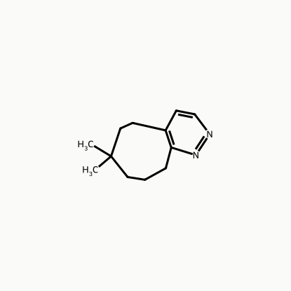 CC1(C)CCCc2nnccc2CC1